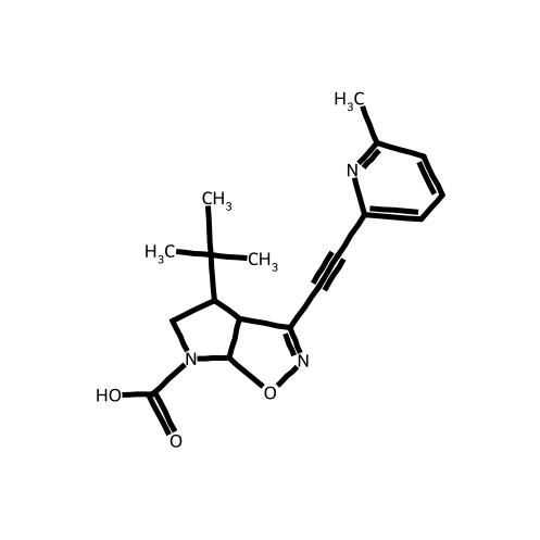 Cc1cccc(C#CC2=NOC3C2C(C(C)(C)C)CN3C(=O)O)n1